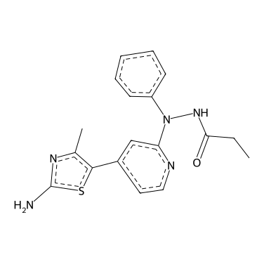 CCC(=O)NN(c1ccccc1)c1cc(-c2sc(N)nc2C)ccn1